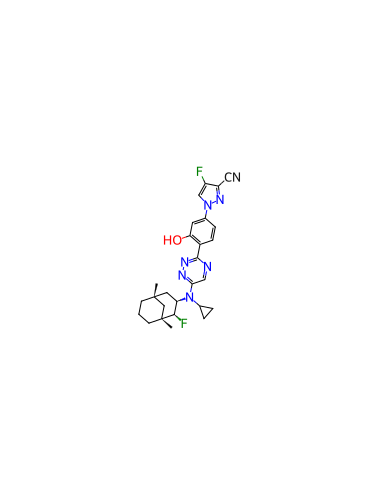 C[C@]12CCC[C@](C)(C1)[C@H](F)[C@H](N(c1cnc(-c3ccc(-n4cc(F)c(C#N)n4)cc3O)nn1)C1CC1)C2